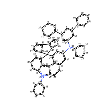 c1ccc(-c2cc(-c3ccccc3)cc(N(c3ccccc3)c3cc4c5c(ccc6c5c5c(cccc5n6-c5ccccc5)C45c4ccccc4-c4ccccc45)c3)c2)cc1